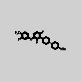 CCCC[C@H]1CC[C@H](C2CCC(c3c(F)c[c]c(Oc4ccc(C(F)(F)F)c(F)c4)c3F)CC2)CC1